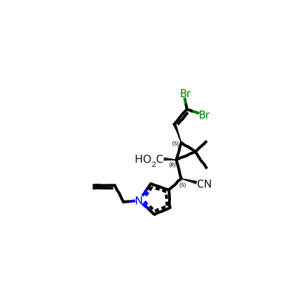 C=CCn1ccc([C@H](C#N)[C@]2(C(=O)O)[C@@H](C=C(Br)Br)C2(C)C)c1